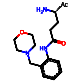 CC(=O)[C@@H](N)CCC(=O)Nc1ccccc1CN1CCOCC1